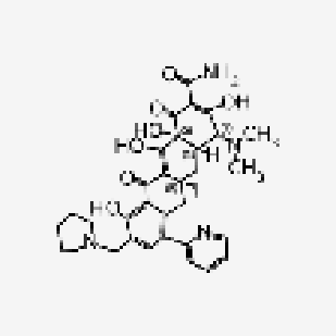 CN(C)[C@@H]1C(O)=C(C(N)=O)C(=O)[C@@]2(O)C(O)=C3C(=O)c4c(O)c(CN5CCCCC5)cc(-c5ccccn5)c4C[C@H]3C[C@@H]12